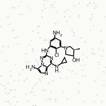 C[C@@H]1CN(c2cc(N)cc(Nc3nc(NC4CC4)c4ncc(N)n4n3)c2Cl)C[C@@H]1O